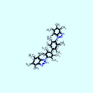 Cc1c(C)c(-n2nnc3c(C)c(C)c(C)c(C)c32)c(C)c(C)c1-c1c(C)c(C)c(-n2nnc3c(C)c(C)c(C)c(C)c32)c(C)c1C